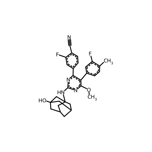 COc1nc(NC23CC4CC(CC(O)(C4)C2)C3)nc(-c2ccc(C#N)c(F)c2)c1-c1ccc(C)c(F)c1